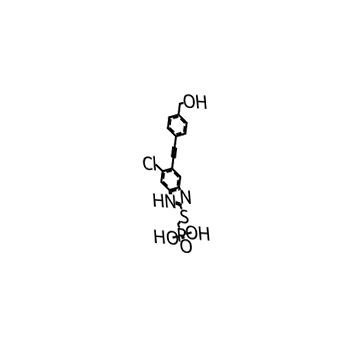 O=P(O)(O)CSc1nc2cc(C#Cc3ccc(CO)cc3)c(Cl)cc2[nH]1